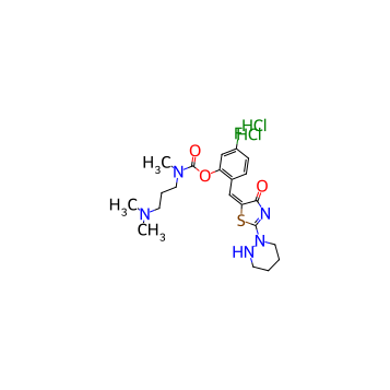 CN(C)CCCN(C)C(=O)Oc1cc(F)ccc1C=C1SC(N2CCCCN2)=NC1=O.Cl.Cl